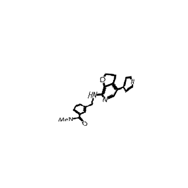 CNC(=O)c1cccc(CNc2ncc(-c3ccncc3)c3c2OCC3)c1